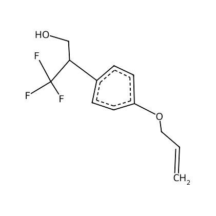 C=CCOc1ccc(C(CO)C(F)(F)F)cc1